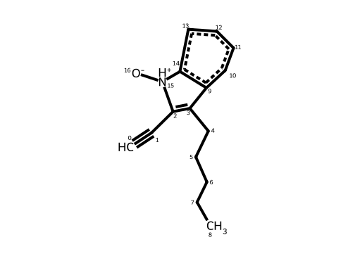 C#CC1=C(CCCCC)c2ccccc2[NH+]1[O-]